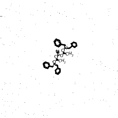 CC(ON(Cc1ccccc1)Cc1ccccc1)O[PH](=O)OC(C)ON(Cc1ccccc1)Cc1ccccc1